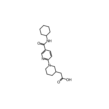 O=C(O)CC1CCCN(c2ccc(C(=O)NC3CCCCC3)cn2)C1